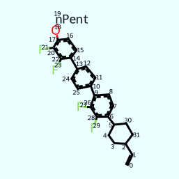 C=CC1CCC(c2ccc(-c3ccc(-c4ccc(OCCCCC)c(F)c4F)cc3)c(F)c2F)CC1